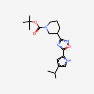 CC(C)c1c[nH]c(-c2nc(C3CCCN(C(=O)OC(C)(C)C)C3)no2)c1